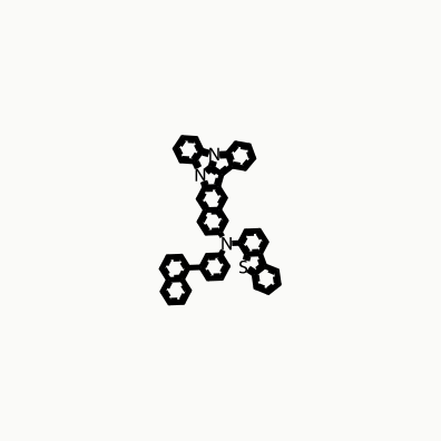 c1cc(-c2cccc3ccccc23)cc(N(c2ccc3cc4c(cc3c2)c2c3ccccc3n3c5ccccc5n4c23)c2cccc3c2sc2ccccc23)c1